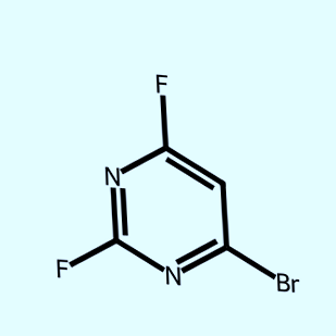 Fc1cc(Br)nc(F)n1